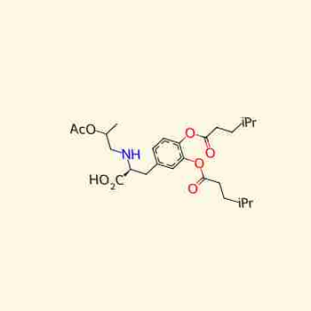 CC(=O)OC(C)CN[C@@H](Cc1ccc(OC(=O)CCC(C)C)c(OC(=O)CCC(C)C)c1)C(=O)O